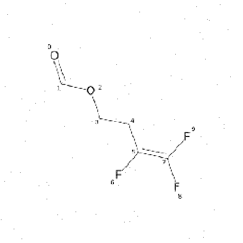 O=COCCC(F)=C(F)F